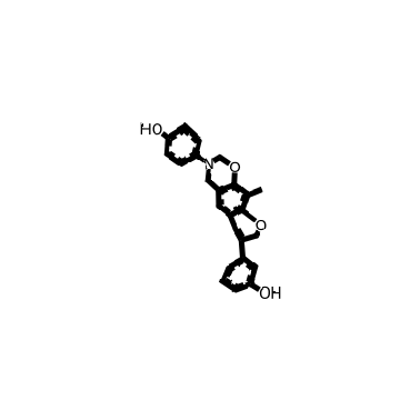 Cc1c2c(cc3c1OCN(c1ccc(O)cc1)C3)C=C(c1cccc(O)c1)CO2